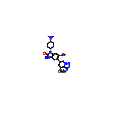 COc1cc(-c2cc3[nH]c(=O)n([C@H]4CC[C@H](N(C)C)CC4)c3cc2C(C)C)cn2ncnc12